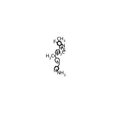 C=C(C1CCN(Cc2ccnc(N)c2)CC1)N1CCC(n2c(SC)nc3cc(C)c(F)cc32)CC1